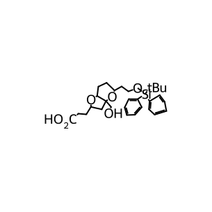 CC(C)(C)[Si](OCCC1CCC2OC(CCC(=O)O)CC2(CO)O1)(c1ccccc1)c1ccccc1